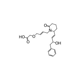 O=C(O)COCC=CCN1C(=O)CCCC1C=CC(O)Cc1ccccc1